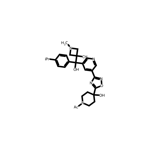 CC(=O)N1CCC(O)(c2nc(-c3cncc(C(O)(c4ccc(C(C)C)cc4)C4(C)CN(C)C4)c3)no2)CC1